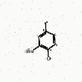 CCCCc1cc(C)ccc1[O]